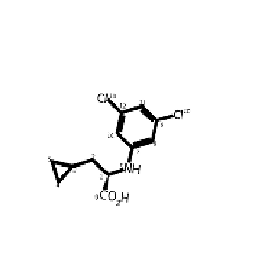 O=C(O)[C@@H](CC1CC1)Nc1cc(Cl)cc(Cl)c1